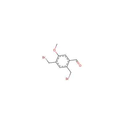 COc1cc(C=O)c(CBr)cc1CBr